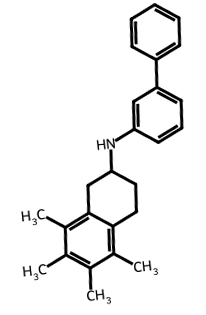 Cc1c(C)c(C)c2c(c1C)CCC(Nc1cccc(-c3ccccc3)c1)C2